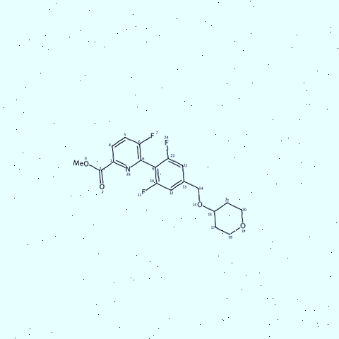 COC(=O)c1ccc(F)c(-c2c(F)cc(COC3CCOCC3)cc2F)n1